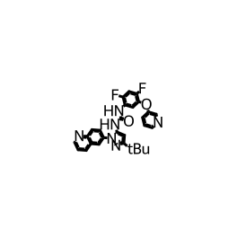 CC(C)(C)c1cc(NC(=O)Nc2cc(Oc3cccnc3)c(F)cc2F)n(-c2ccc3ncccc3c2)n1